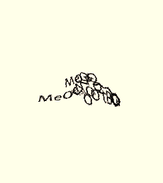 CO[C@@H]1C[C@@H](C(=O)OOC(=O)C(C)(C)C)N(C(=O)CP(=O)(CCCCc2ccccc2)OC)C1